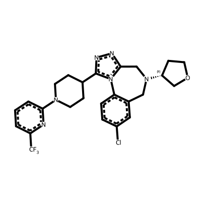 FC(F)(F)c1cccc(N2CCC(c3nnc4n3-c3ccc(Cl)cc3CN([C@@H]3CCOC3)C4)CC2)n1